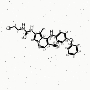 Cc1c(NC(=O)NCCCl)cn2ncc(C#N)c(Nc3ccc(Oc4ccccc4)cc3)c12